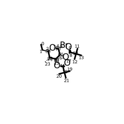 CC[C@H]1O[C@H](Br)[C@H](OC(=O)C(C)(C)C)[C@@H](OC(=O)C(C)(C)C)[C@@H]1C